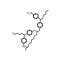 CCCCCCCCCC(Cc1ccc(C(CCCCC)c2ccc(N)cc2)cc1)Cc1ccc(C(CCCCC)c2ccc(N)cc2)cc1